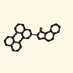 c1ccc2c(c1)ccc1cc(-c3cc4cccc5c6cccc7cccc(c(c3)c45)c76)[nH]c12